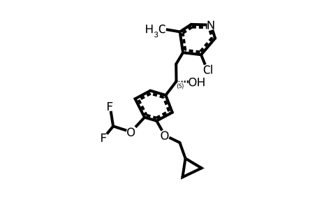 Cc1cncc(Cl)c1C[C@H](O)c1ccc(OC(F)F)c(OCC2CC2)c1